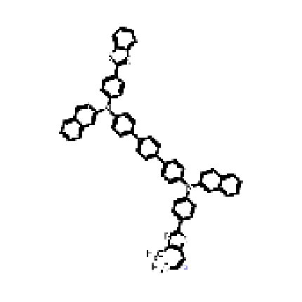 C/C=C\c1sc(-c2ccc(N(c3ccc(-c4ccc(-c5ccc(N(c6ccc(-c7nc8ccccc8s7)cc6)c6ccc7ccccc7c6)cc5)cc4)cc3)c3ccc4ccccc4c3)cc2)nc1C